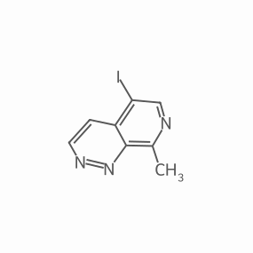 Cc1ncc(I)c2ccnnc12